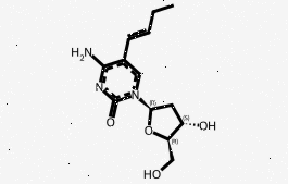 CCC=Cc1cn([C@H]2C[C@H](O)[C@@H](CO)O2)c(=O)nc1N